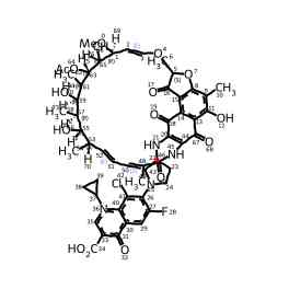 CO[C@H]1/C=C/O[C@@]2(C)Oc3c(C)c(O)c4c(c3C2=O)C(=O)C(NC2CCN(c3c(F)cc5c(=O)c(C(=O)O)cn(C6CC6)c5c3Cl)C2)=C(NC(=O)/C(C)=C\C=C\[C@H](C)[C@H](O)[C@@H](C)[C@@H](O)[C@@H](C)[C@H](OC(C)=O)[C@@H]1C)C4=O